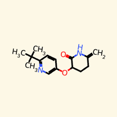 C=C1CCC(Oc2ccc(C(C)(C)C)nc2)C(=O)N1